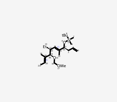 C=CC[C@H](O[Si](C)(C)C(C)(C)C)/C(C)=C/[C@H](CC)[C@@H](OCOC)/C(C)=C/I